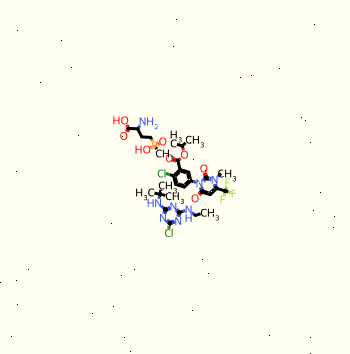 CC(C)OC(=O)c1cc(-n2c(=O)cc(C(F)(F)F)n(C)c2=O)ccc1Cl.CCNc1nc(Cl)nc(NC(C)(C)C)n1.CP(=O)(O)CCC(N)C(=O)O